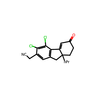 CCCC12CCC(=O)C=C1c1c(cc(CC#N)c(Cl)c1Cl)C2